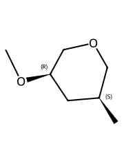 CO[C@H]1COC[C@@H](C)C1